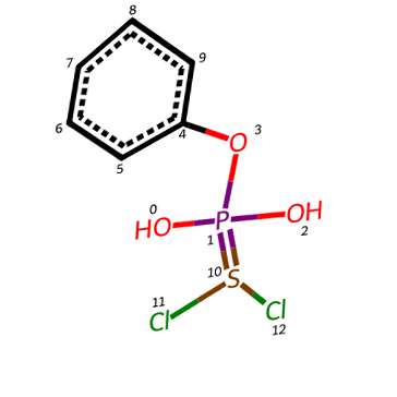 OP(O)(Oc1ccccc1)=S(Cl)Cl